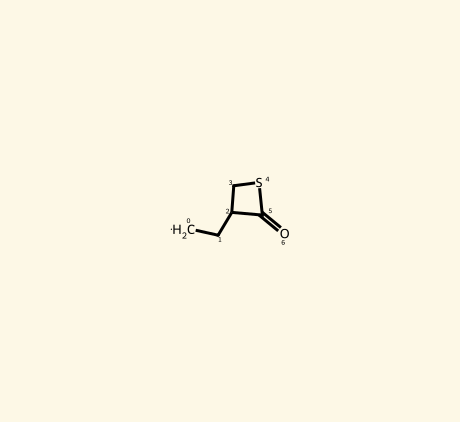 [CH2]CC1CSC1=O